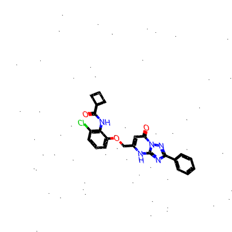 O=C(Nc1c(Cl)cccc1OCc1cc(=O)n2nc(-c3ccccc3)nc2[nH]1)C1CCC1